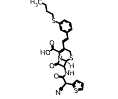 CCCCSc1cccc(C=CC2=C(C(=O)O)N3C(=O)C(NC(=O)C(C#N)c4cccs4)[C@@H]3SC2)c1